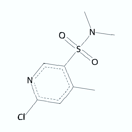 Cc1cc(Cl)ncc1S(=O)(=O)N(C)C